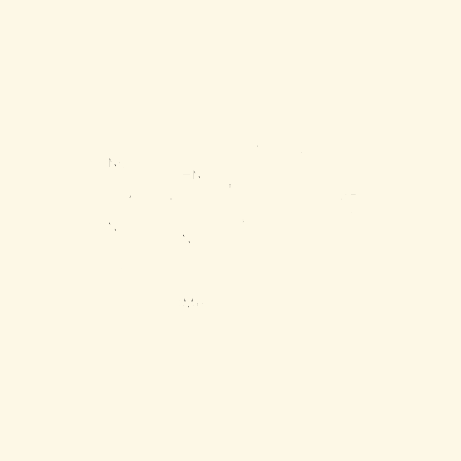 COc1cnc(C#N)c(Nc2ccc(C(F)(F)F)cc2)n1